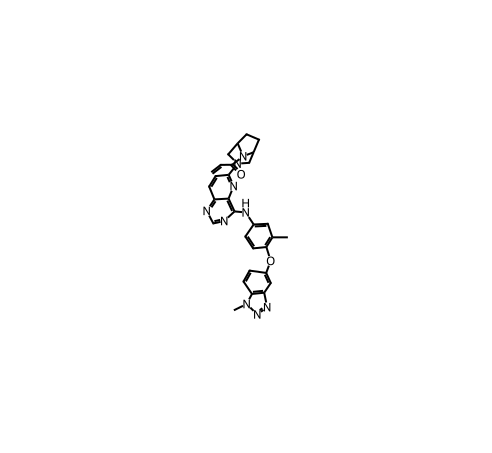 C=CC(=O)N1C2CCC1CN(c1ccc3ncnc(Nc4ccc(Oc5ccc6c(c5)nnn6C)c(C)c4)c3n1)C2